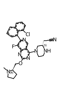 CN1CCC[C@@H]1COc1nc(N2CCN[C@@H](CC#N)C2)c2cnc(-c3cccc4cccc(Cl)c34)c(F)c2n1